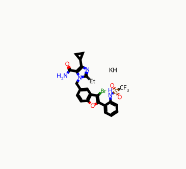 CCc1nc(C2CC2)c(C(N)=O)n1Cc1ccc2oc(-c3ccccc3NS(=O)(=O)C(F)(F)F)c(Br)c2c1.[KH]